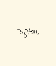 C=COC(=O)OC(C)(C)[SiH2]C